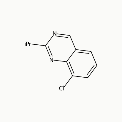 CC(C)c1ncc2cccc(Cl)c2n1